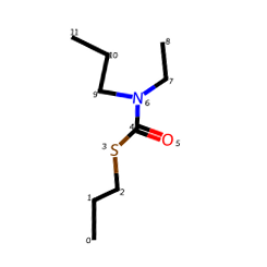 CCCSC(=O)N(CC)CCC